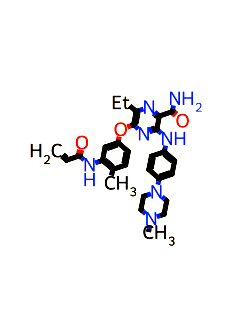 C=CC(=O)Nc1cc(Oc2nc(Nc3ccc(N4CCN(C)CC4)cc3)c(C(N)=O)nc2CC)ccc1C